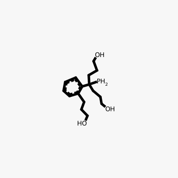 OCCCc1ccccc1C(P)(CCCO)CCCO